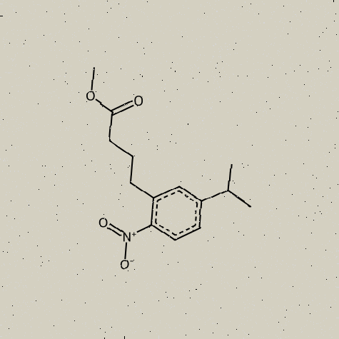 COC(=O)CCCc1cc(C(C)C)ccc1[N+](=O)[O-]